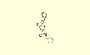 O=C(NCC1CCCCC1)c1ccc(OCc2ccccc2)c(F)c1